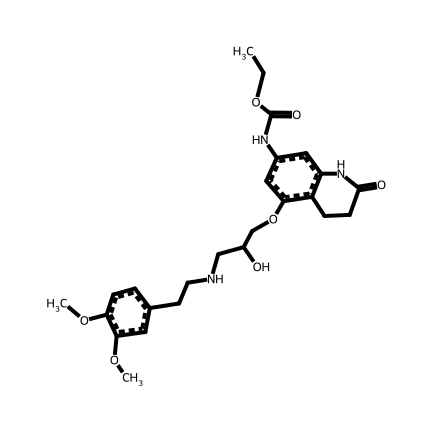 CCOC(=O)Nc1cc2c(c(OCC(O)CNCCc3ccc(OC)c(OC)c3)c1)CCC(=O)N2